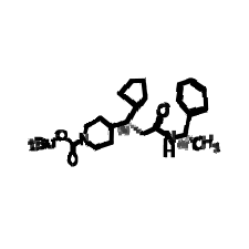 C[C@H](NC(=O)C[C@@H](C1CCCC1)C1CCN(C(=O)OC(C)(C)C)CC1)c1ccccc1